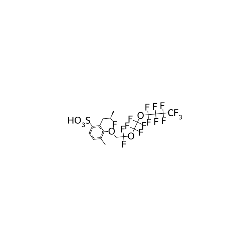 Cc1ccc(S(=O)(=O)O)c(C[C@@H](C)F)c1OCC(F)(F)OC(F)(F)C(F)(F)OC(F)(F)C(F)(F)C(F)(F)C(F)(F)F